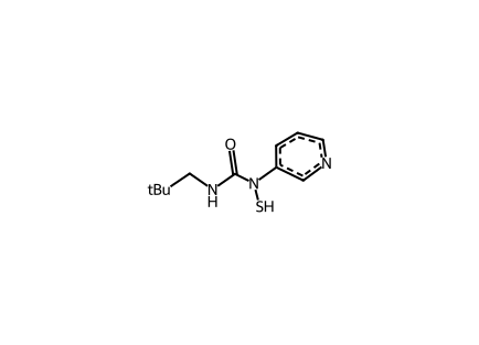 CC(C)(C)CNC(=O)N(S)c1cccnc1